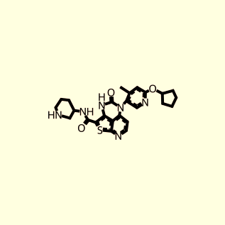 Cc1cc(OC2CCCC2)ncc1N1C(=O)Nc2c(C(=O)NC3CCCNC3)sc3nccc1c23